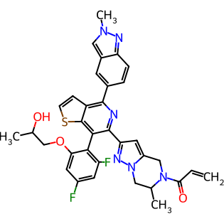 C=CC(=O)N1Cc2cc(-c3nc(-c4ccc5nn(C)cc5c4)c4ccsc4c3-c3c(F)cc(F)cc3OCC(C)O)nn2CC1C